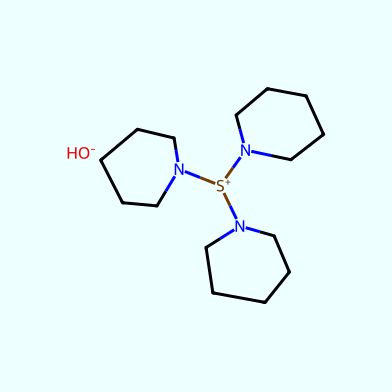 C1CCN([S+](N2CCCCC2)N2CCCCC2)CC1.[OH-]